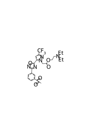 CCN(CC)CCOC(=O)Cn1nc(C(F)(F)F)cc1-c1nc(-c2cccc(S(C)(=O)=O)c2)no1